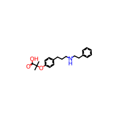 CC(C)(Oc1ccc(CCCNCCc2ccccc2)cc1)C(=O)O